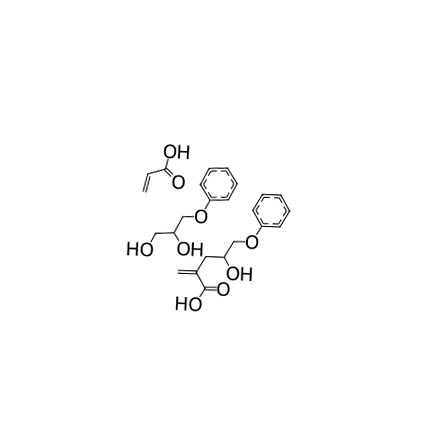 C=C(CC(O)COc1ccccc1)C(=O)O.C=CC(=O)O.OCC(O)COc1ccccc1